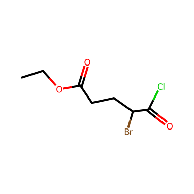 CCOC(=O)CCC(Br)C(=O)Cl